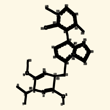 COC1=N[C@H](C(C)C)C(OC)=N[C@H]1Cc1ccc(-c2c(C)ccn(C)c2=O)c2nccn12